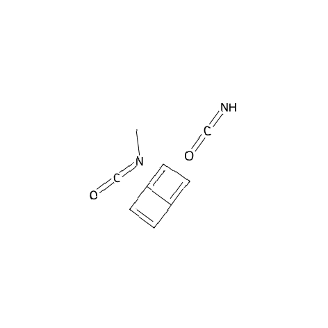 CN=C=O.N=C=O.c1cc2ccc1-2